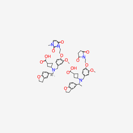 COc1cc(CN(C2CC(C(=O)O)C2)C(C)c2ccc3c(c2)CCO3)ccc1OCCN1C(=O)CCC1=O.COc1cc(CN(C2CC(C(=O)O)C2)[C@H](C)c2ccc3c(c2)CCO3)ccc1OCCn1c(=O)ccn(C)c1=O